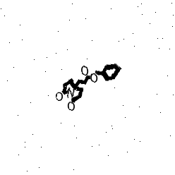 O=C(CCC12CCC(=O)N1C(=O)CC2)OCc1ccccc1